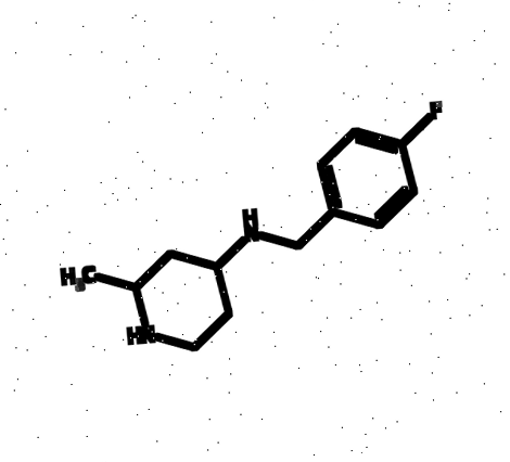 CC1CC(NCc2ccc(F)cc2)CCN1